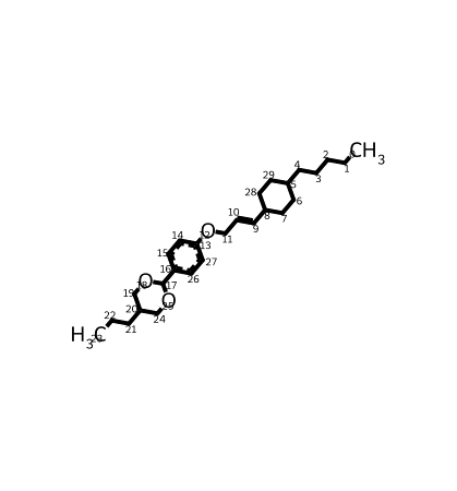 CCCCCC1CCC(/C=C/COc2ccc(C3OCC(CCC)CO3)cc2)CC1